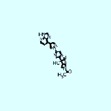 CC(=O)N1CC(C(O)(c2ccc(-n3cc(-c4ccnc5[nH]cnc45)cn3)nc2)C(F)(F)F)C1